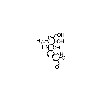 CC1OC(CO)C(O)C(O)C1Nc1ccc2cc(C=O)c(=O)[nH]c2c1